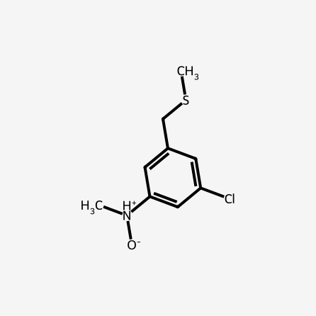 CSCc1cc(Cl)cc([NH+](C)[O-])c1